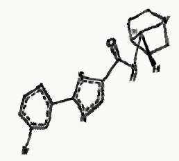 O=C(N[C@H]1CN2CCC1CC2)c1cnc(-c2cccc(Br)c2)s1